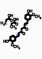 CCC(=O)O.CCC(=O)O.COc1cc(/C=C/C(=O)CC(=O)/C=C/c2ccc(O)c(OC)c2)ccc1O